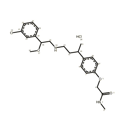 CNC(=O)COc1ccc(C(C)CCNCC(OC)c2cccc(Cl)c2)cc1.Cl